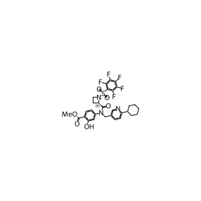 COC(=O)c1ccc(N(Cc2ccc(C3CCCCC3)nc2)C(=O)[C@H]2CCN2S(=O)(=O)c2c(F)c(F)c(F)c(F)c2F)cc1O